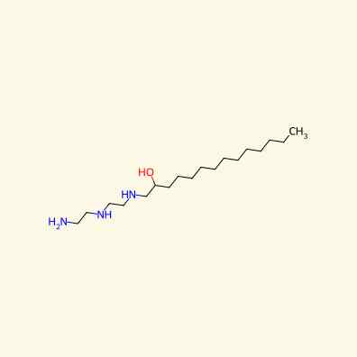 CCCCCCCCCCCCC(O)CNCCNCCN